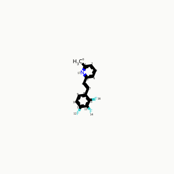 Cc1cccc(/C=C/c2ccc(F)c(F)c2F)n1